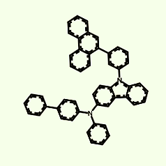 c1ccc(-c2ccc(N(c3ccccc3)c3ccc4c(c3)c3ccccc3n4-c3cccc(-c4cc5ccccc5c5ccccc45)c3)cc2)cc1